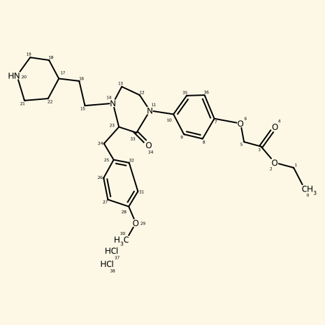 CCOC(=O)COc1ccc(N2CCN(CCC3CCNCC3)C(Cc3ccc(OC)cc3)C2=O)cc1.Cl.Cl